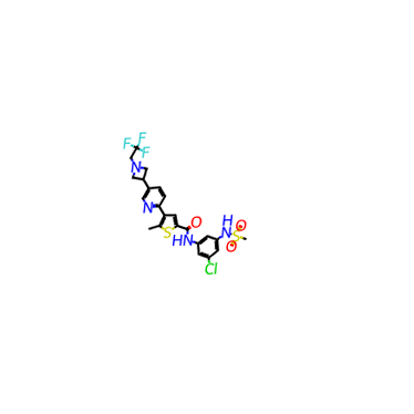 Cc1sc(C(=O)Nc2cc(Cl)cc(NS(C)(=O)=O)c2)cc1-c1ccc(C2CN(CC(F)(F)F)C2)cn1